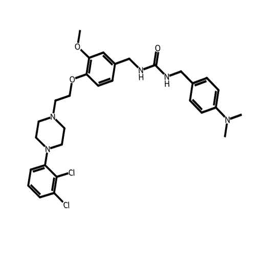 COc1cc(CNC(=O)NCc2ccc(N(C)C)cc2)ccc1OCCN1CCN(c2cccc(Cl)c2Cl)CC1